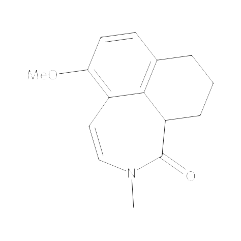 COc1ccc2c3c1C=CN(C)C(=O)C3CCC2